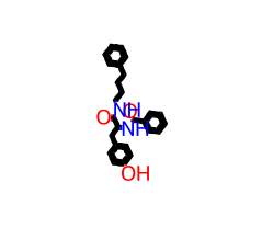 O=C(NC(Cc1ccc(O)cc1)C(=O)NCCCCc1ccccc1)c1ccccc1